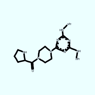 CCCNc1nc(NCCC)nc(N2CCN(C(=O)C3CCCN3)CC2)n1